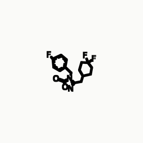 O=c1onc(CC2CCC(F)(F)CC2)n1Cc1ccc(F)cc1